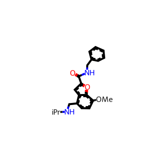 COc1ccc(CNC(C)C)c2cc(C(=O)NCc3ccccc3)oc12